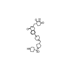 O=C1CCC(CC2=CC(=O)c3ccc(N4CCN(CC5CCN(C6(C7CCNCC7)CO6)CC5)CC4)cc3C2)C(=O)N1